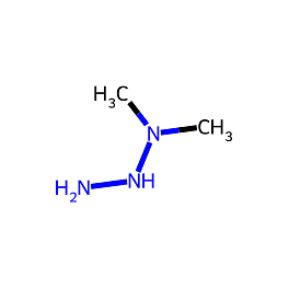 CN(C)NN